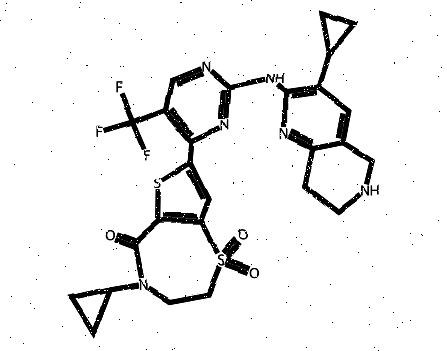 O=C1c2sc(-c3nc(Nc4nc5c(cc4C4CC4)CNCC5)ncc3C(F)(F)F)cc2S(=O)(=O)CCN1C1CC1